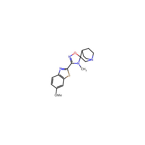 COc1ccc2nc(C3=NOC4(CN5CCC4CC5)N3C)sc2c1